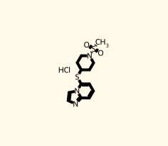 CS(=O)(=O)N1CCC(Sc2cccc3nccn23)CC1.Cl